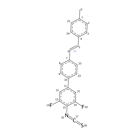 Cc1ccc(/C=C/c2ccc(-c3cc(F)c(N=C=S)c(F)c3)cc2)cc1